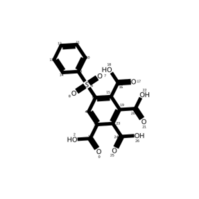 O=C(O)c1cc(S(=O)(=O)c2ccccc2)c(C(=O)O)c(C(=O)O)c1C(=O)O